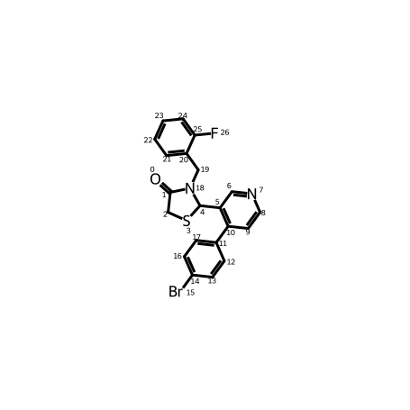 O=C1CSC(c2cnccc2-c2ccc(Br)cc2)N1Cc1ccccc1F